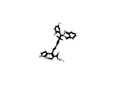 CC(C)(C#CC#CC1=C(C(N)=O)CNc2[nH]ccc21)C(c1cc(F)ccc1F)n1cc2ccccc2n1